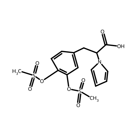 CS(=O)(=O)Oc1ccc(CC(C(=O)O)n2cccc2)cc1OS(C)(=O)=O